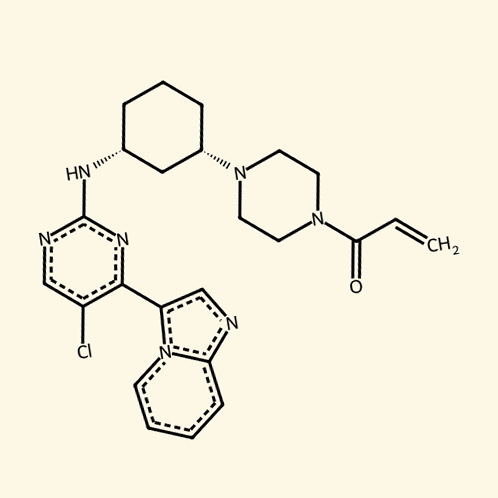 C=CC(=O)N1CCN([C@H]2CCC[C@@H](Nc3ncc(Cl)c(-c4cnc5ccccn45)n3)C2)CC1